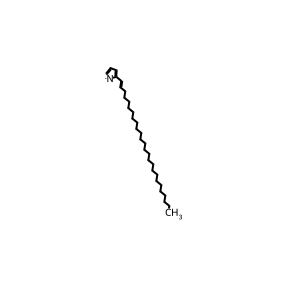 CCCCCCCCCCCCCCCCCCCCCCCCC=CC1=CC=C[N]1